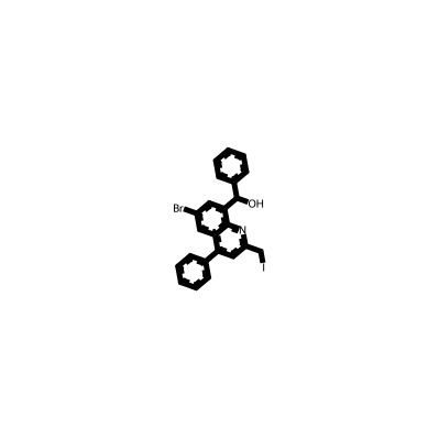 OC(c1ccccc1)c1cc(Br)cc2c(-c3ccccc3)cc(CI)nc12